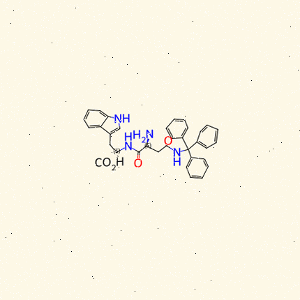 N[C@@H](CC(=O)NC(c1ccccc1)(c1ccccc1)c1ccccc1)C(=O)N[C@@H](Cc1c[nH]c2ccccc12)C(=O)O